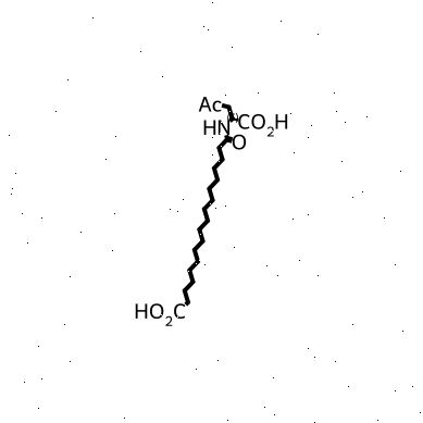 CC(=O)C[C@H](NC(=O)CCCCCCCCCCCCCCCCC(=O)O)C(=O)O